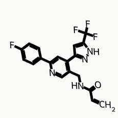 C=CC(=O)NCc1cnc(-c2ccc(F)cc2)cc1-c1cc(C(F)(F)F)[nH]n1